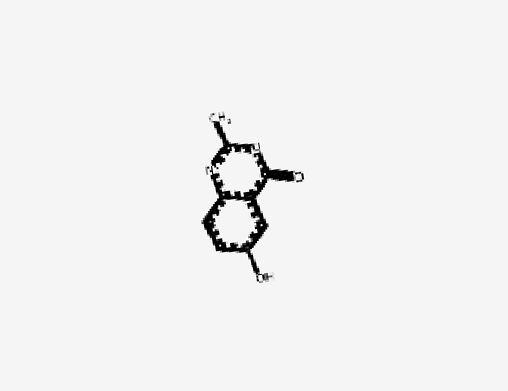 Cc1nc2ccc(O)cc2c(=O)o1